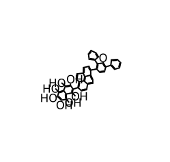 Oc1c(O)c(O)c2c(O)c(-c3ccc4ccc5c(-c6ccc(-c7ccccc7)c7oc8ccccc8c67)ccc6ccc3c4c65)c(O)c(O)c2c1O